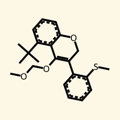 COCOC1=C(c2ccccc2SC)COc2cccc(C(C)(C)C)c21